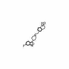 O=C1CCc2cc(CCN3CCC(c4onc5cc(F)ccc45)CC3)ccc2N1